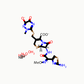 CO/N=C(\C(=O)N[C@@H]1C(=O)N2C(C(=O)[O-])=C(CSc3nc(=O)c([O-])nn3C)CS[C@H]12)c1csc(N)n1.O.O.O.[Na+].[Na+]